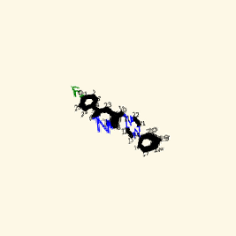 Fc1ccc(-c2cncc(CN3CCN(c4ccccc4)CC3)c2)cc1